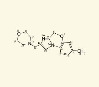 Cc1ccc2c(c1)OCc1nc(CN3CCOCC3)cn1-2